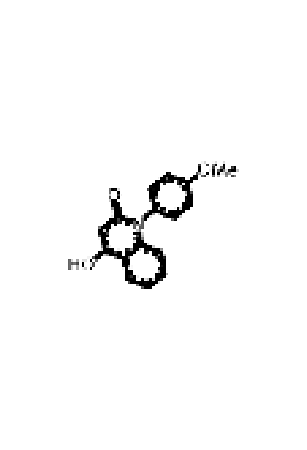 COc1ccc(-n2c(=O)cc(O)c3ccccc32)cc1